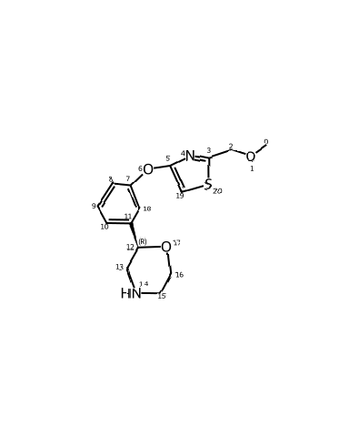 COCc1nc(Oc2cccc([C@@H]3CNCCO3)c2)cs1